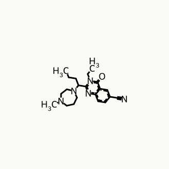 CCCC(c1nc2ccc(C#N)cc2c(=O)n1CC)N1CCCN(C)CC1